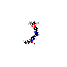 CC(C)(C)OC(=O)N1CCC(CNc2cncc(NCC3CCN(C(=O)OC(C)(C)C)CC3)c2)CC1